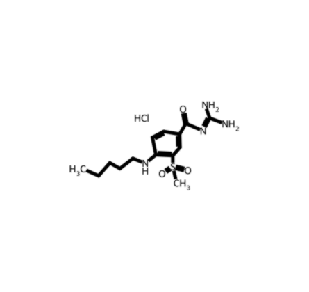 CCCCCNc1ccc(C(=O)N=C(N)N)cc1S(C)(=O)=O.Cl